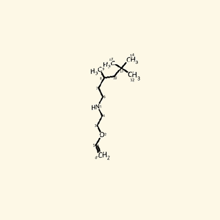 C=COCCNCCC(C)CC(C)(C)C